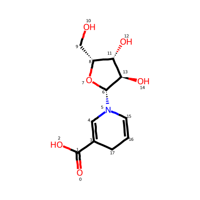 O=C(O)C1=CN([C@@H]2O[C@H](CO)[C@H](O)[C@H]2O)C=CC1